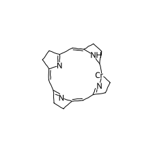 C1=C2CCC(=N2)C=C2CC[CH](N2)[Cr]2[CH2]CC(=[N]2)C=C2CCC1=N2